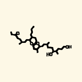 CCCCC1CCC2(CCC(C)C(CCC(C)CCC(O)C(C)CCCO)O2)OC1CCC(C)CCC(=O)CC